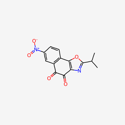 CC(C)c1nc2c(o1)-c1ccc([N+](=O)[O-])cc1C(=O)C2=O